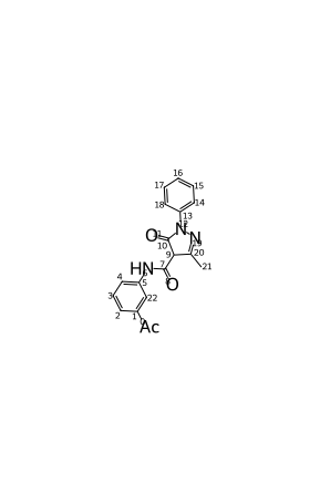 CC(=O)c1cccc(NC(=O)C2C(=O)N(c3ccccc3)N=C2C)c1